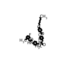 CCCCCCCOc1ccc(C(=O)Oc2ccc(C[C@H](NC(=O)c3ccc(NC(=O)Cc4cc(F)ccc4C)cc3)C(C)=O)cc2)cc1